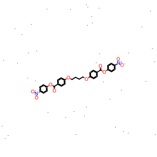 O=C(Oc1ccc([N+](=O)[O-])cc1)c1ccc(OCCCCOc2ccc(C(=O)Oc3ccc([N+](=O)[O-])cc3)cc2)cc1